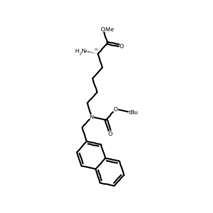 COC(=O)[C@@H](N)CCCCN(Cc1ccc2ccccc2c1)C(=O)OC(C)(C)C